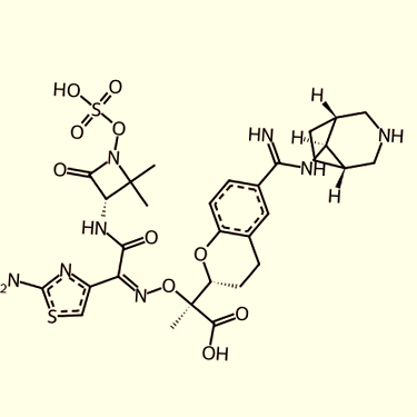 CC1(C)[C@H](NC(=O)/C(=N\O[C@](C)(C(=O)O)[C@H]2CCc3cc(C(=N)N[C@H]4[C@@H]5CC[C@H]4CNC5)ccc3O2)c2csc(N)n2)C(=O)N1OS(=O)(=O)O